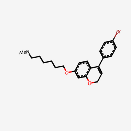 CNCCCCCCOc1ccc2c(c1)OCC=C2c1ccc(Br)cc1